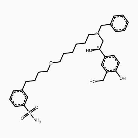 NS(=O)(=O)c1cccc(CCCCOCCCCCCN(Cc2ccccc2)C[C@H](O)c2ccc(O)c(CO)c2)c1